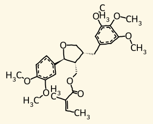 C/C=C(/C)C(=O)OC[C@H]1[C@@H](Cc2cc(OC)c(OC)c(OC)c2)CO[C@@H]1c1ccc(OC)c(OC)c1